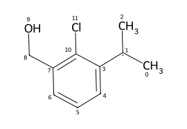 C[C](C)c1cccc(CO)c1Cl